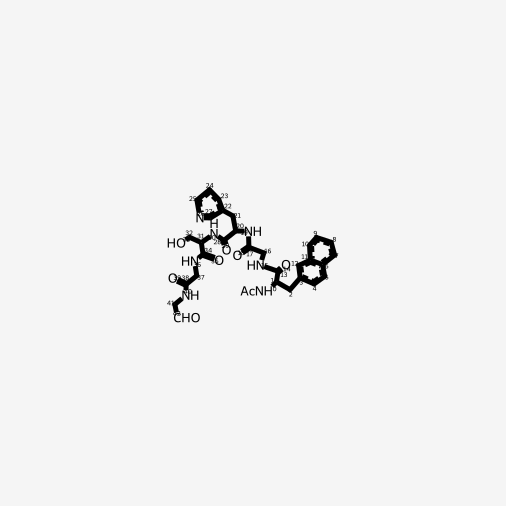 CC(=O)NC(Cc1ccc2ccccc2c1)C(=O)NCC(=O)NC(Cc1cccnc1)C(=O)NC(CO)C(=O)NCC(=O)NCC=O